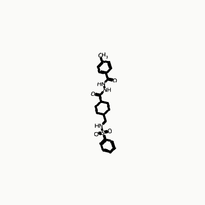 Cc1ccc(C(=O)NNC(=O)C2CCC(CNS(=O)(=O)c3ccccc3)CC2)cc1